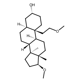 COCC[C@]12CC[C@@H](O)C[C@@H]1CC[C@@H]1[C@@H]2CC[C@]2(C)[C@@H](OC)CC[C@@]12C